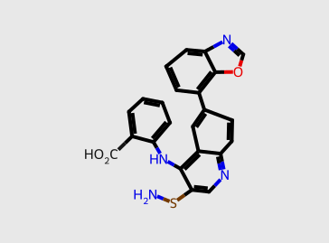 NSc1cnc2ccc(-c3cccc4ncoc34)cc2c1Nc1ccccc1C(=O)O